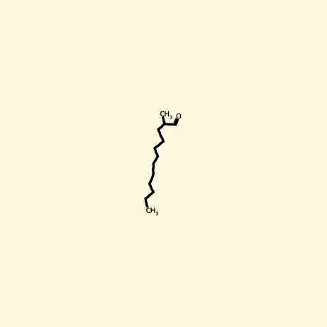 CCCCCCCCCCC(C)C=O